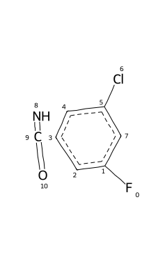 Fc1cccc(Cl)c1.N=C=O